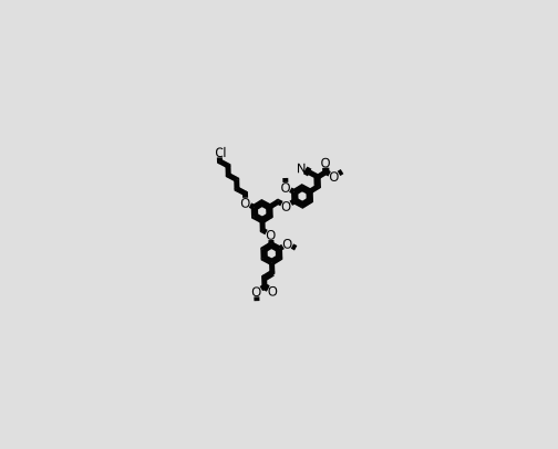 COC(=O)/C=C/c1ccc(OCc2cc(COc3ccc(/C=C(\C#N)C(=O)OC)cc3OC)cc(OCCCCCCCl)c2)c(OC)c1